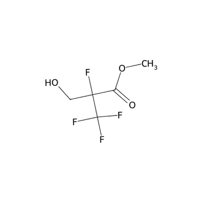 COC(=O)C(F)(CO)C(F)(F)F